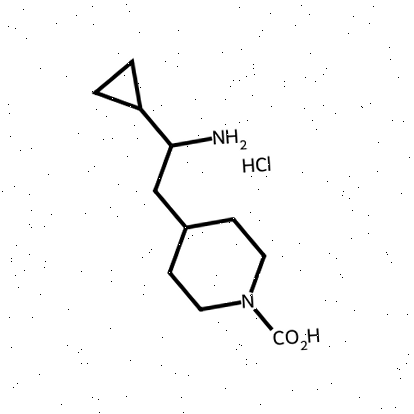 Cl.NC(CC1CCN(C(=O)O)CC1)C1CC1